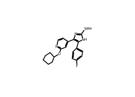 CSc1nc(-c2ccnc(OC3CCCCC3)c2)c(-c2ccc(F)cc2)[nH]1